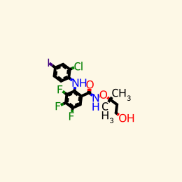 CC(C)(CCO)ONC(=O)c1cc(F)c(F)c(F)c1Nc1ccc(I)cc1Cl